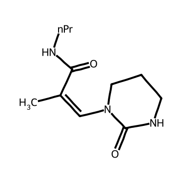 CCCNC(=O)C(C)=CN1CCCNC1=O